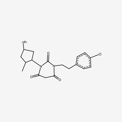 CCCC1CC(C)C(N2C(=O)CC(=O)N(CCc3ccc(Cl)cc3)C2=O)C1